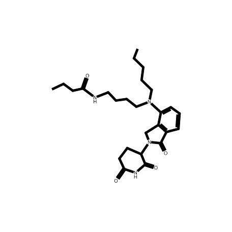 CCCCCN(CCCCNC(=O)CCC)c1cccc2c1CN(C1CCC(=O)NC1=O)C2=O